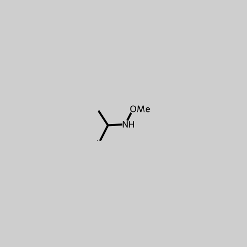 [CH2]C(C)NOC